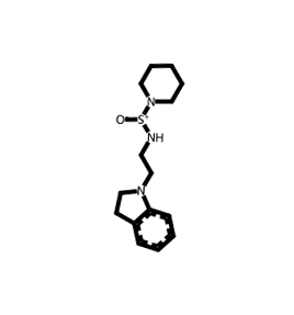 [O-][S+](NCCN1CCc2ccccc21)N1CCCCC1